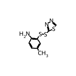 Cc1ccc(N)c(SSc2nncs2)c1